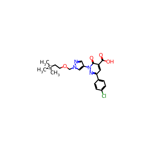 C[Si](C)(C)CCOCn1cc(-n2nc(-c3ccc(Cl)cc3)cc(C(=O)O)c2=O)cn1